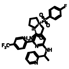 CC(Nc1cc(C[N+]2(S(=O)(=O)c3ccc(F)cc3)CCC[C@H]2C(N)=O)cc(-c2ccc(C(F)(F)F)cc2)n1)c1ccccn1